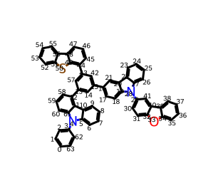 c1ccc(-n2c3ccccc3c3c(-c4cc(-c5ccc6c(c5)c5ccccc5n6-c5ccc6oc7ccccc7c6c5)cc(-c5cccc6c5sc5ccccc56)c4)cccc32)cc1